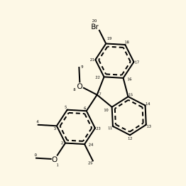 COc1c(C)cc(C2(OC)c3ccccc3-c3ccc(Br)cc32)cc1C